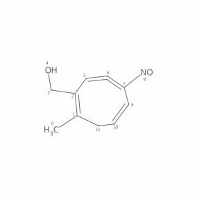 C/C1=C(\CO)C=C=C(N=O)/C=C\C1